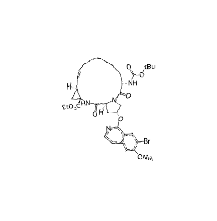 CCOC(=O)[C@@]12C[C@H]1/C=C\CCCCC[C@H](NC(=O)OC(C)(C)C)C(=O)N1C[C@H](Oc3nccc4cc(OC)c(Br)cc34)C[C@H]1C(=O)N2